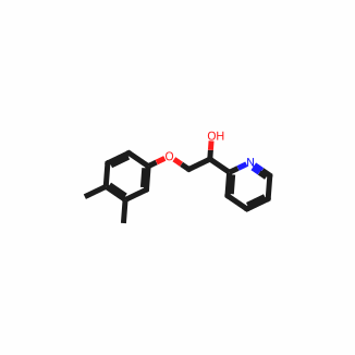 Cc1ccc(OCC(O)c2ccccn2)cc1C